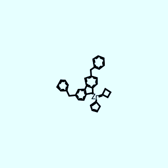 C1=CC[C]([Zr](=[C]2CCC2)[CH]2c3ccc(Cc4ccccc4)cc3-c3cc(Cc4ccccc4)ccc32)=C1